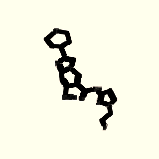 COc1cc2nc(C3CCOCC3)cn2cc1C(=O)Nc1ccn(CCF)n1